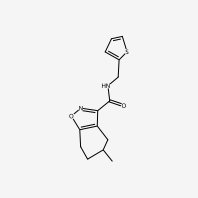 CC1CCc2onc(C(=O)NCc3cccs3)c2C1